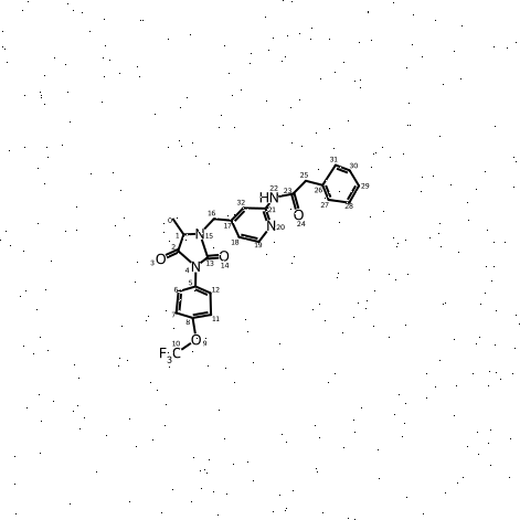 CC1C(=O)N(c2ccc(OC(F)(F)F)cc2)C(=O)N1Cc1ccnc(NC(=O)Cc2ccccc2)c1